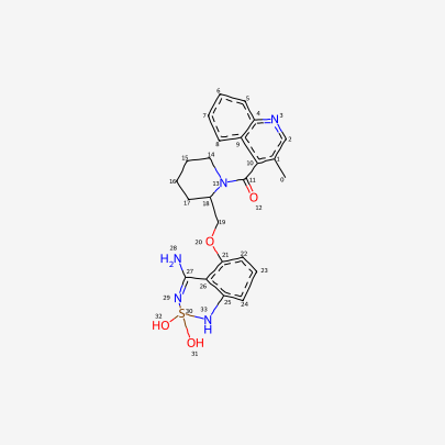 Cc1cnc2ccccc2c1C(=O)N1CCCCC1COc1cccc2c1C(N)=NS(O)(O)N2